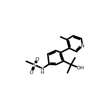 Cc1ccncc1-c1ccc(NS(C)(=O)=O)cc1C(C)(C)O